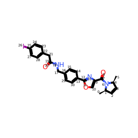 C[C@@H]1C=C[C@H](C)N1C(=O)c1coc(-c2ccc(CNC(=O)Cc3ccc(I)cc3)cc2)n1